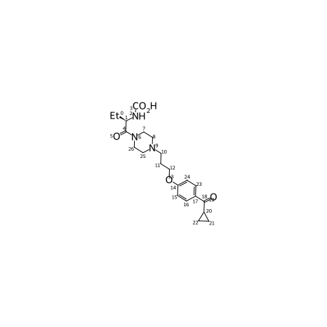 CC[C@@H](NC(=O)O)C(=O)N1CCN(CCCOc2ccc(C(=O)C3CC3)cc2)CC1